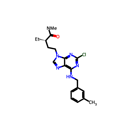 CC[C@@H](CCn1cnc2c(NCc3cccc(C)c3)nc(Cl)nc21)C(=O)NC